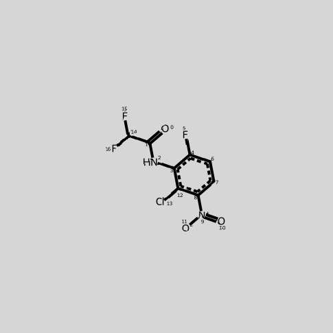 O=C(Nc1c(F)ccc([N+](=O)[O-])c1Cl)C(F)F